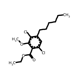 CCCCCCc1cc(Cl)c(C(=O)OCC)c(OC)c1Cl